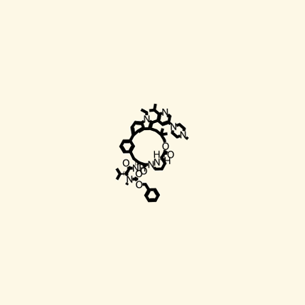 CCn1c(-c2cc(N3CCN(C)CC3)cnc2C(C)C)c2c3cc(ccc31)-c1cccc(c1)C[C@H](NC(=O)[C@H](C(C)C)N(C)C(=O)OCc1ccccc1)C(=O)N1CCC[C@H](N1)C(=O)OCC(C)(C)C2